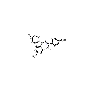 CSc1ccc(/C(C)=C/n2c3c(c4cc(C)ccc42)CN(C)CC3)cc1